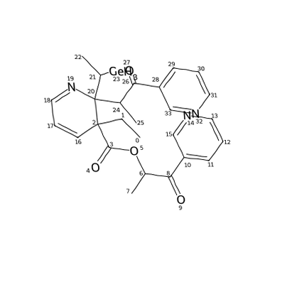 CCC1(C(=O)OC(C)C(=O)c2cccnc2)C=CC=NC1([CH](C)[GeH3])C(C)C(=O)c1cccnc1